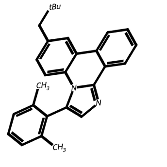 Cc1cccc(C)c1-c1cnc2c3ccccc3c3cc(CC(C)(C)C)ccc3n12